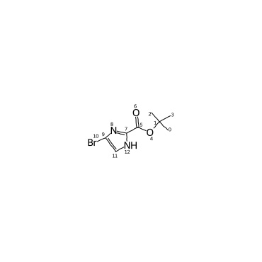 CC(C)(C)OC(=O)c1nc(Br)c[nH]1